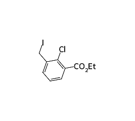 CCOC(=O)c1cccc(CI)c1Cl